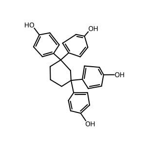 Oc1ccc(C2(c3ccc(O)cc3)CCCC(c3ccc(O)cc3)(c3ccc(O)cc3)C2)cc1